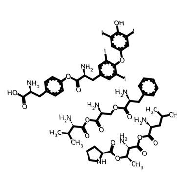 CC(C)C[C@H](N)C(=O)OC(=O)[C@@H](N)[C@@H](C)OC(=O)[C@@H]1CCCN1.CC(C)[C@H](N)C(=O)OC(=O)[C@@H](N)COC(=O)[C@@H](N)Cc1ccccc1.N[C@@H](Cc1ccc(OC(=O)[C@@H](N)Cc2cc(I)c(Oc3cc(I)c(O)c(I)c3)c(I)c2)cc1)C(=O)O